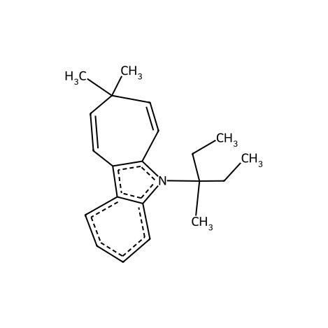 CCC(C)(CC)n1c2c(c3ccccc31)C=CC(C)(C)C=C2